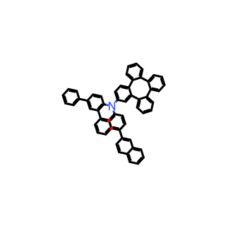 c1ccc(-c2ccc(N(c3ccc(-c4ccc5ccccc5c4)cc3)c3ccc4c(c3)-c3ccccc3-c3ccccc3-c3ccccc3-4)c(-c3ccccc3)c2)cc1